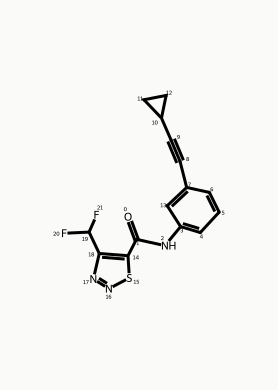 O=C(Nc1cccc(C#CC2CC2)c1)c1snnc1C(F)F